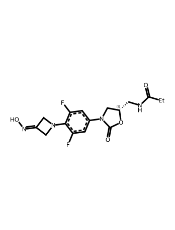 CCC(=O)NC[C@H]1CN(c2cc(F)c(N3CC(=NO)C3)c(F)c2)C(=O)O1